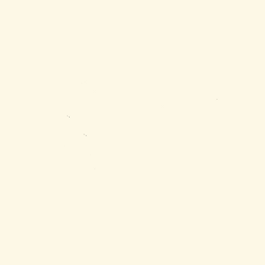 Brc1ccc(CCOc2ccccc2-c2cn(C(c3ccccc3)(c3ccccc3)c3ccccc3)cn2)cc1